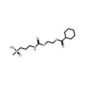 CP(=O)(O)CCCNC(=O)OCCOC(=O)C1CCCCC1